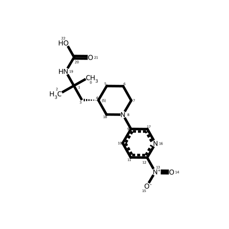 CC(C)(C[C@@H]1CCCN(c2ccc([N+](=O)[O-])nc2)C1)NC(=O)O